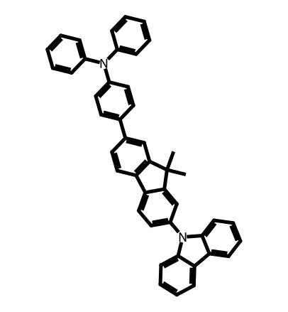 CC1(C)c2cc(-c3ccc(N(c4ccccc4)c4ccccc4)cc3)ccc2-c2ccc(-n3c4ccccc4c4ccccc43)cc21